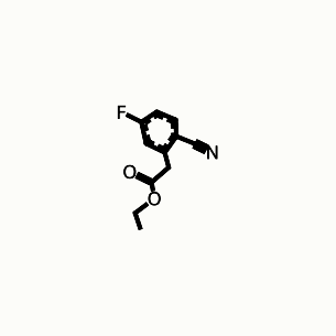 CCOC(=O)Cc1cc(F)ccc1C#N